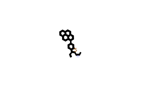 C=Cc1c(/C=C\C)sc2cc(-c3ccc4ccc5cccc6ccc3c4c56)ccc12